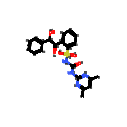 Cc1cc(C)nc(NC(=O)NS(=O)(=O)c2ccccc2C(=O)C(O)c2ccccc2)n1